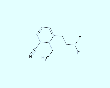 CCc1c(C#N)cccc1[CH]CC(F)F